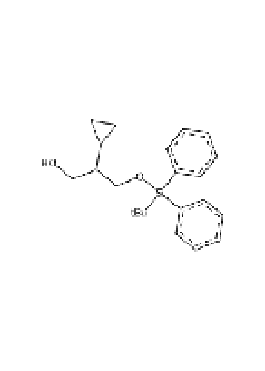 CC(C)(C)[Si](OCC(CO)C1CC1)(c1ccccc1)c1ccccc1